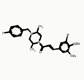 COc1cc(/C=C/C(=O)N2CC(C)N(Cc3ccc(F)cc3)CC2C)cc(Br)c1OC